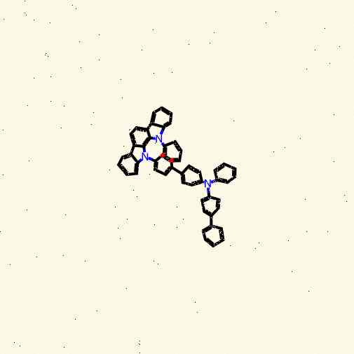 c1ccc(-c2ccc(N(c3ccccc3)c3ccc(-c4ccc(-n5c6ccccc6c6ccc7c8ccccc8n(-c8ccccc8)c7c65)cc4)cc3)cc2)cc1